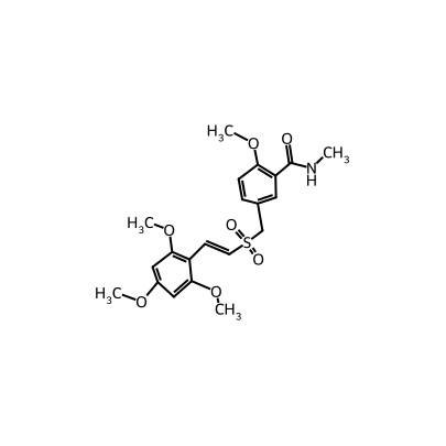 CNC(=O)c1cc(CS(=O)(=O)C=Cc2c(OC)cc(OC)cc2OC)ccc1OC